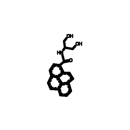 O=C(NC(CO)CO)c1ccc2ccc3cccc4ccc1c2c34